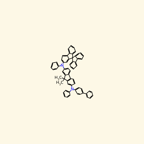 CC1(C)c2cc(N(c3ccccc3)c3ccc(-c4ccccc4)cc3)ccc2-c2ccc(N(c3ccccc3)c3ccc4c(c3)C3(c5ccccc5-c5ccccc53)c3ccccc3-4)cc21